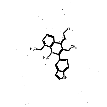 CCCC/C(CC)=C(/c1ccc2[nH]ccc2c1)N(C)c1c(CC)cccc1CC